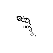 O=C(O)N1CCN(CC(O)COCC(F)(F)F)C[C@H]1Cc1ccccc1